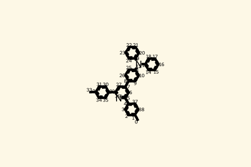 Cc1ccc(-c2cc(-c3ccc(N(c4ccccc4)c4ccccc4)cc3)cc(-c3ccc(C)cc3)n2)cc1